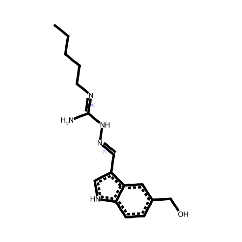 CCCCC/N=C(\N)N/N=C/c1c[nH]c2ccc(CO)cc12